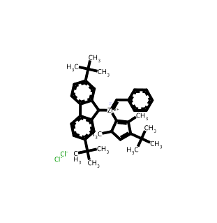 CC1=[C](/[Zr+2](=[CH]\c2ccccc2)[CH]2c3cc(C(C)(C)C)ccc3-c3ccc(C(C)(C)C)cc32)C(C)C=C1C(C)(C)C.[Cl-].[Cl-]